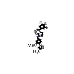 COc1cc(/C=C2\OCCN3C2=NOCC3c2cc(F)c(F)c(F)c2)ccc1-n1cnc(C)c1